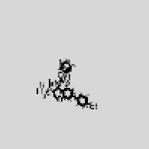 CCc1ccc(-c2ccc3c(c2)OCC(C)(C)C3NC(=O)O[C@H]2CN3CCC2CC3)cc1